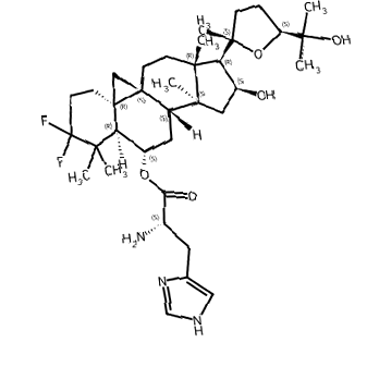 CC(C)(O)[C@@H]1CC[C@@](C)([C@H]2[C@@H](O)C[C@@]3(C)[C@@H]4C[C@H](OC(=O)[C@@H](N)Cc5c[nH]cn5)[C@H]5C(C)(C)C(F)(F)CC[C@@]56C[C@@]46CC[C@]23C)O1